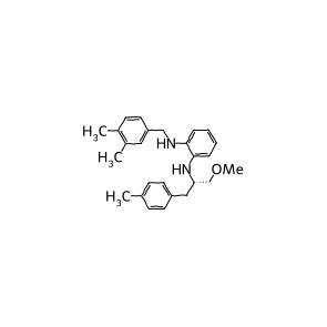 COC[C@H](Cc1ccc(C)cc1)Nc1ccccc1NCc1ccc(C)c(C)c1